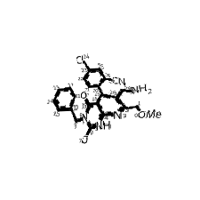 COCc1nc2[nH]c(=O)n(Cc3ccccc3)c(=O)c2c(-c2ccc(Cl)cc2C#N)c1CN